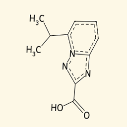 CC(C)c1cccc2nc(C(=O)O)nn12